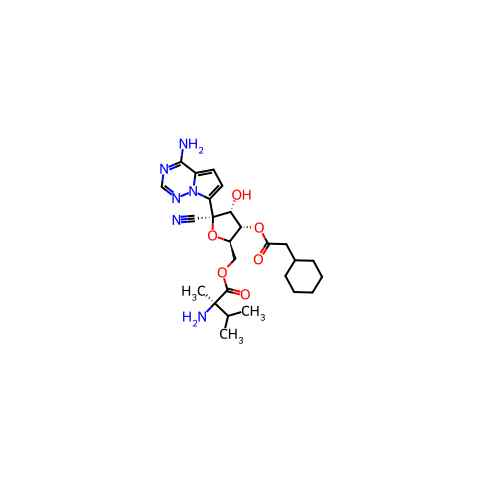 CC(C)[C@@](C)(N)C(=O)OC[C@H]1O[C@@](C#N)(c2ccc3c(N)ncnn23)[C@H](O)[C@@H]1OC(=O)CC1CCCCC1